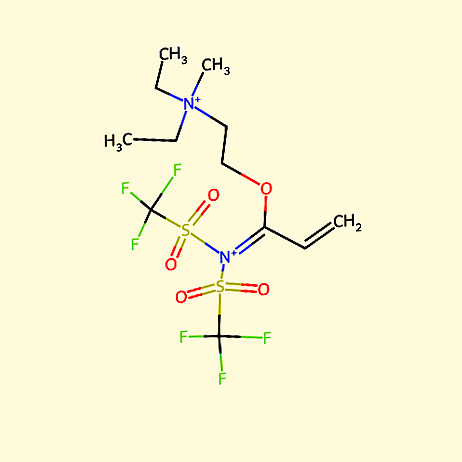 C=CC(OCC[N+](C)(CC)CC)=[N+](S(=O)(=O)C(F)(F)F)S(=O)(=O)C(F)(F)F